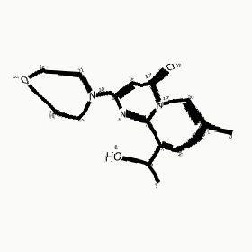 Cc1cc(C(C)O)c2nc(N3CCOCC3)cc(=O)n2c1